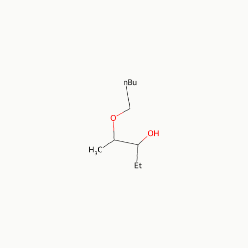 CCCCCOC(C)C(O)CC